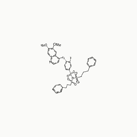 COc1cc2nccc(Oc3ccc(S(=O)(=O)N(S(=O)(=O)CCCc4ccccc4)S(=O)(=O)CCCc4ccccc4)cc3F)c2cc1OC